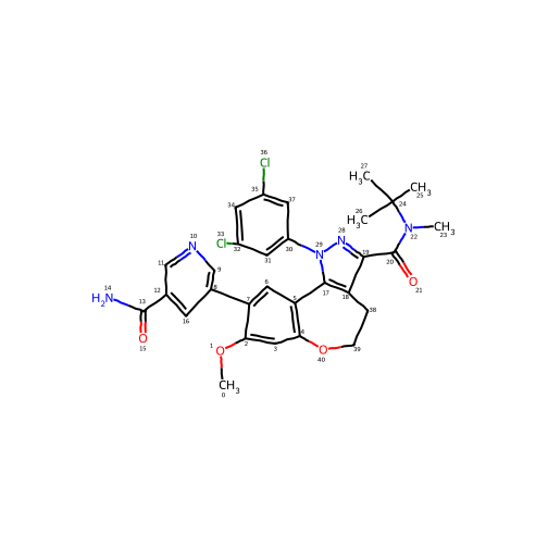 COc1cc2c(cc1-c1cncc(C(N)=O)c1)-c1c(c(C(=O)N(C)C(C)(C)C)nn1-c1cc(Cl)cc(Cl)c1)CCO2